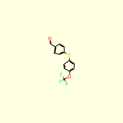 O=Cc1ccc(Sc2ccc(OC(F)(F)F)cc2)cc1